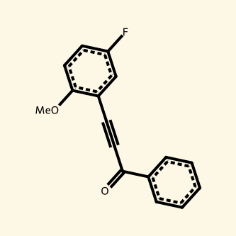 COc1ccc(F)cc1C#CC(=O)c1ccccc1